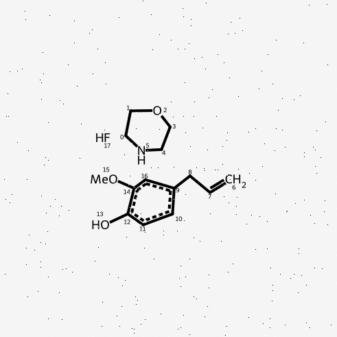 C1COCCN1.C=CCc1ccc(O)c(OC)c1.F